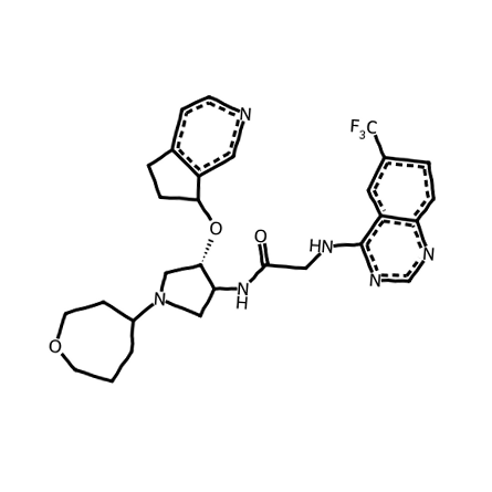 O=C(CNc1ncnc2ccc(C(F)(F)F)cc12)NC1CN(C2CCCOCC2)C[C@@H]1OC1CCc2ccncc21